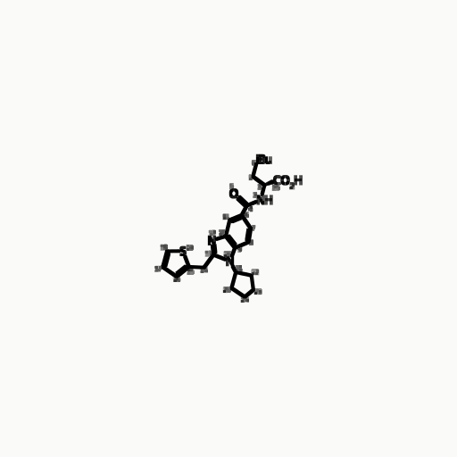 CCC(C)C[C@H](NC(=O)c1ccc2c(c1)nc(Cc1cccs1)n2C1CCCC1)C(=O)O